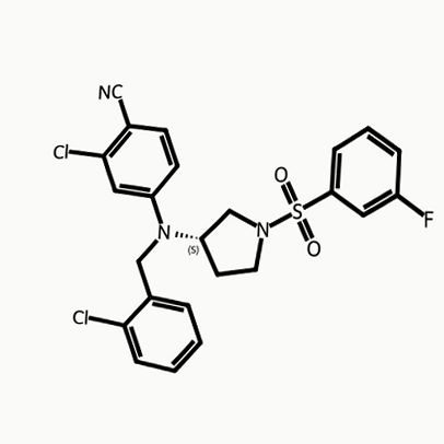 N#Cc1ccc(N(Cc2ccccc2Cl)[C@H]2CCN(S(=O)(=O)c3cccc(F)c3)C2)cc1Cl